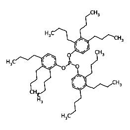 CCCCc1ccc(OP(Oc2ccc(CCCC)c(CCCC)c2CCCC)Oc2ccc(CCCC)c(CCCC)c2CCCC)c(CCCC)c1CCCC